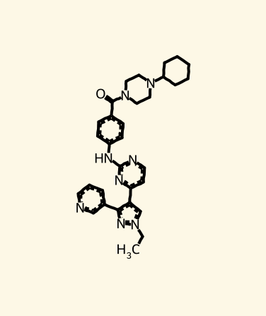 CCn1cc(-c2ccnc(Nc3ccc(C(=O)N4CCN(C5CCCCC5)CC4)cc3)n2)c(-c2cccnc2)n1